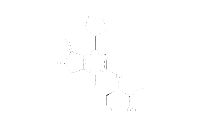 CC(C)C[C@@H](Nc1nc(C2CC=CO2)c2c(c1F)CNC2=O)C(N)=O